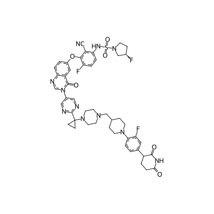 N#Cc1c(NS(=O)(=O)N2CC[C@@H](F)C2)ccc(F)c1Oc1ccc2ncn(-c3cnc(C4(N5CCN(CC6CCN(c7ccc(C8CCC(=O)NC8=O)cc7F)CC6)CC5)CC4)nc3)c(=O)c2c1